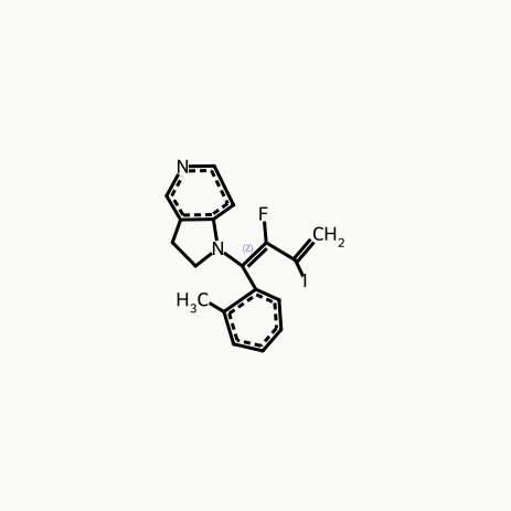 C=C(I)/C(F)=C(\c1ccccc1C)N1CCc2cnccc21